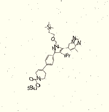 Cc1cc(-c2c(C(C)C)c(-c3ccc(C4=CCN(C(=O)OC(C)(C)C)CC4)cc3)nn2COCC[Si](C)(C)C)cn2ncnc12